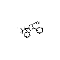 C[C@@](C(=O)O)(c1ccccc1)N1CC(CO)C(c2ccccc2)C1